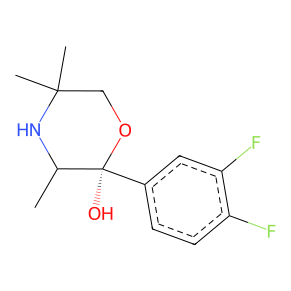 CC1NC(C)(C)CO[C@@]1(O)c1ccc(F)c(F)c1